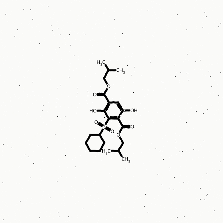 CC(C)COC(=O)c1cc(O)c(C(=O)OCC(C)C)c(S(=O)(=O)C2CCCCC2)c1O